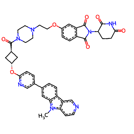 Cn1c2ccncc2c2ccc(-c3ccc(O[C@H]4C[C@H](C(=O)N5CCN(CCOc6ccc7c(c6)C(=O)N(C6CCC(=O)NC6=O)C7=O)CC5)C4)nc3)cc21